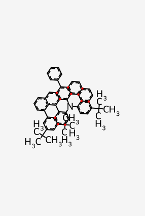 CC(C)(C)c1cc(-c2cccc3cccc(-c4ccccc4N(c4ccc(-c5ccccc5)cc4-c4ccccc4)c4ccc(C(C)(C)C)cc4-c4ccccc4)c23)cc(C(C)(C)C)c1